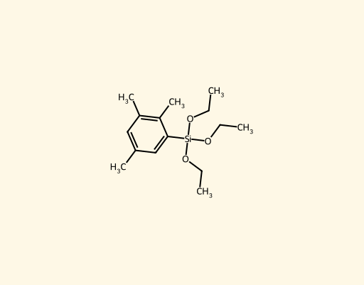 CCO[Si](OCC)(OCC)c1cc(C)cc(C)c1C